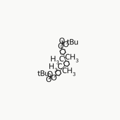 CC(C)(C)OC(=O)Oc1ccc(C(C)(C)c2cccc(C(C)(C)c3ccc(OC(=O)OC(C)(C)C)cc3)c2)cc1